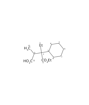 CCOC(=O)C(CC)(C1CCCCC1)C(C)C(=O)O